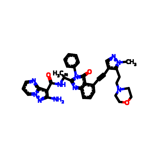 C[C@H](NC(=O)c1c(N)nn2cccnc12)c1nc2cccc(C#Cc3cnn(C)c3CCN3CCOCC3)c2c(=O)n1-c1ccccc1